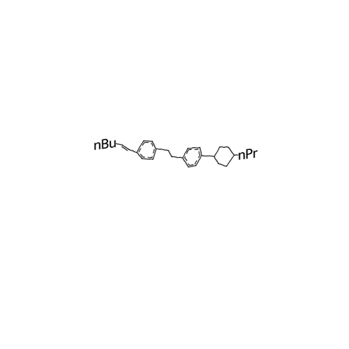 CCCC/C=C/c1ccc(CCc2ccc(C3CCC(CCC)CC3)cc2)cc1